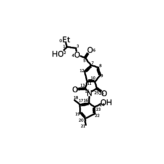 CCC(O)COC(=O)c1ccc2c(c1)C(=O)N(c1c(C)cc(C)cc1O)C2=O